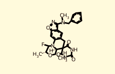 C[C@@H]1O[C@H](C)C(F)N2c3cc4onc(N(C)Cc5ccccc5)c4cc3CC3(C(=O)NC(=O)NC3=O)[C@@H]12